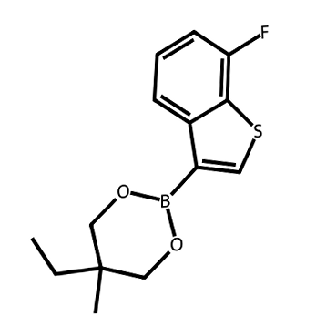 CCC1(C)COB(c2csc3c(F)cccc23)OC1